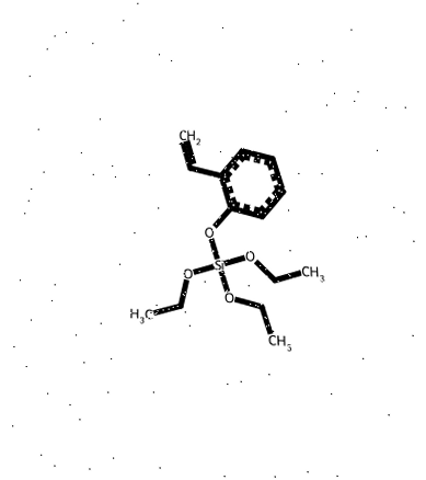 C=Cc1ccccc1O[Si](OCC)(OCC)OCC